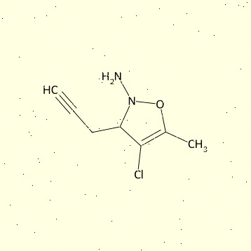 C#CCC1C(Cl)=C(C)ON1N